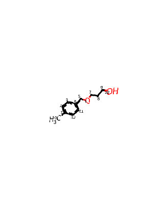 Cc1ccc(COCCCO)cc1